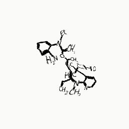 C=C/C(=C\C=C(/C)OC(=C)N(CC)c1ccccc1N)N(C)c1ncccc1C(C)(C)C=O